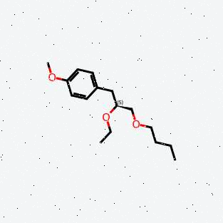 CCCCOC[C@H](Cc1ccc(OC)cc1)OCC